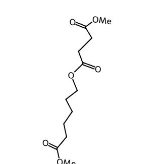 COC(=O)CCCCCOC(=O)CCC(=O)OC